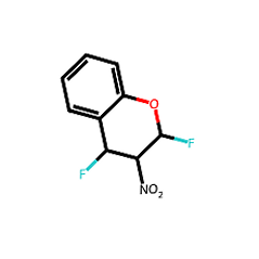 O=[N+]([O-])C1C(F)Oc2ccccc2C1F